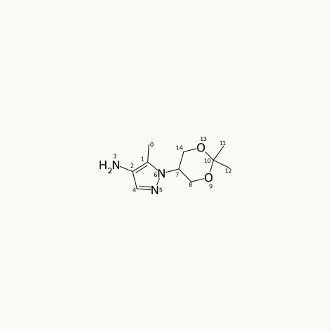 Cc1c(N)cnn1C1COC(C)(C)OC1